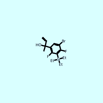 C=CC(C)(O)c1cc(Br)c(F)c([Si](CC)(CC)CC)c1F